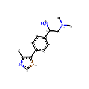 Cc1ncsc1-c1ccc(C(N)CN(C)C)cc1